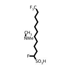 CNC.O=S(=O)(O)C(F)CCCCCCCCCC(F)(F)F